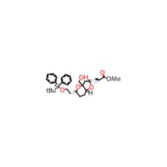 COC(=O)/C=C/[C@H]1CC2(CO)O[C@@H](CCO[Si](c3ccccc3)(c3ccccc3)C(C)(C)C)CC[C@@H]2O1